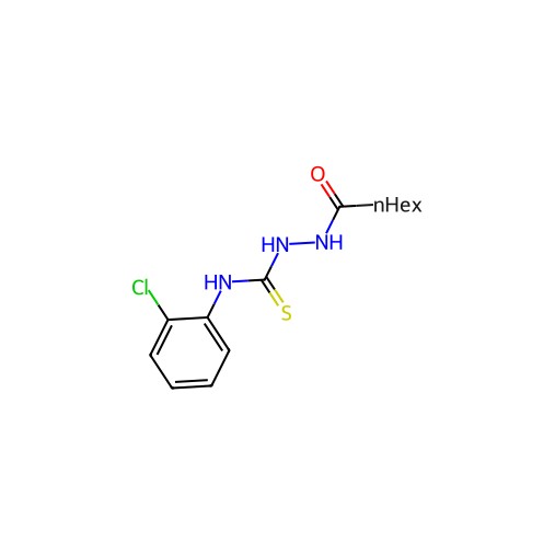 CCCCCCC(=O)NNC(=S)Nc1ccccc1Cl